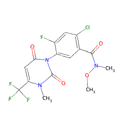 CON(C)C(=O)c1cc(-n2c(=O)cc(C(F)(F)F)n(C)c2=O)c(F)cc1Cl